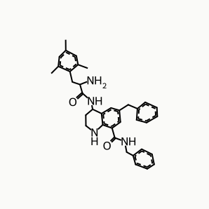 Cc1cc(C)c(CC(N)C(=O)NC2CCNc3c(C(=O)NCc4ccccc4)cc(Cc4ccccc4)cc32)c(C)c1